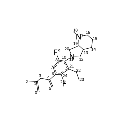 C=C(C)CC(=C)c1cc(F)c(N2CC3CCCN(C)C3C2)c(CC)c1F